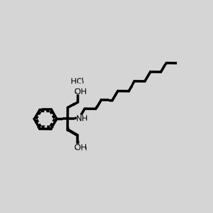 CCCCCCCCCCCCNC(CCO)(CCO)c1ccccc1.Cl